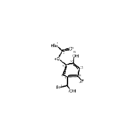 CCC(O)c1cc(OC(=O)C(C)(C)C)c(O)cc1F